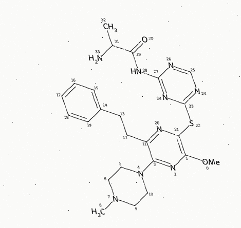 COc1nc(N2CCN(C)CC2)c(CCc2ccccc2)nc1Sc1ncnc(NC(=O)C(C)N)n1